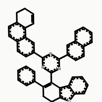 C1=Cc2c(ccc3ccc(-c4nc(C5=C(c6ccccc6)CCc6oc7ccccc7c65)nc(-c5ccc6ccccc6c5)n4)cc23)CC1